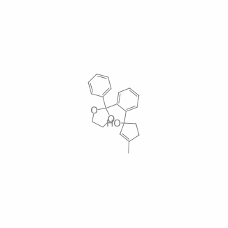 CC1=CC(O)(c2ccccc2C2(c3ccccc3)OCCO2)CC1